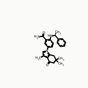 Cc1cn(-c2ccc(N[C@@H](C)c3ccccc3)c(C(N)=O)c2)c2c1C(=O)CC(C)(C)C2